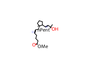 CCCCCC(C)(O)/C=C/C1CCC[C@@H]1C/C=C\CCCC(=O)OC